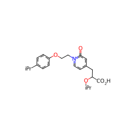 CC(C)OC(Cc1ccn(CCOc2ccc(C(C)C)cc2)c(=O)c1)C(=O)O